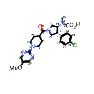 COc1cnc(N2CCC(C(=O)N3C[C@@H](N(C)C(=O)O)[C@H](c4ccc(Cl)cc4)C3)CC2)nc1